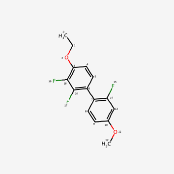 CCOc1ccc(-c2ccc(OC)cc2F)c(F)c1F